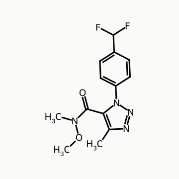 CON(C)C(=O)c1c(C)nnn1-c1ccc(C(F)F)cc1